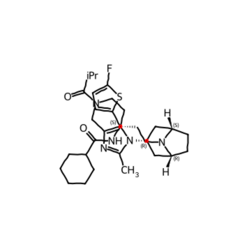 Cc1nc2c(n1[C@H]1C[C@H]3CC[C@@H](C1)N3CC[C@H](NC(=O)C1CCCCC1)c1ccc(F)s1)CCN(C(=O)C(C)C)C2